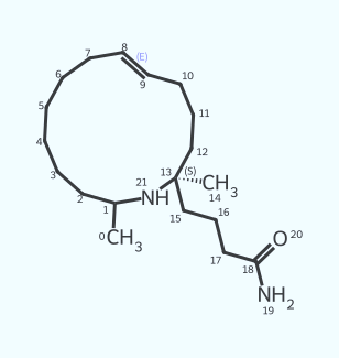 CC1CCCCCC/C=C/CCC[C@@](C)(CCCC(N)=O)N1